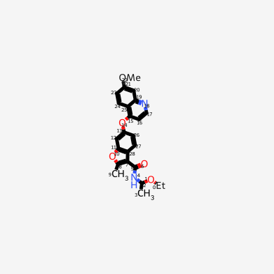 CCOC(C)NC(=O)c1c(C)oc2cc(Oc3ccnc4cc(OC)ccc34)ccc12